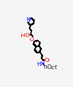 CCCCCCCCNC(=O)C=Cc1ccc2cc(OC[C@H](O)CCc3cccnc3)ccc2c1